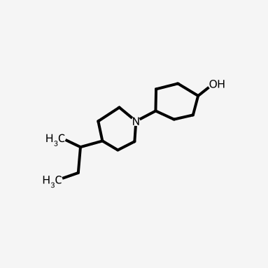 CCC(C)C1CCN(C2CCC(O)CC2)CC1